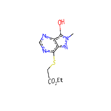 CCOC(=O)CSc1ncnc2c(O)n(C)nc12